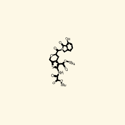 CC(C)(C)OC(=O)C(=O)Nc1sc2c(c1C(=O)OC(C)(C)C)CC(C(=O)N1Cc3cccc(O)c3C1=O)OC2